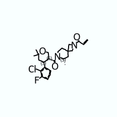 C=CC(=O)N1CC2(CCN(C(=O)[C@@H]3COC(C)(C)C[C@@H]3c3cccc(F)c3Cl)[C@@H](C)C2)C1